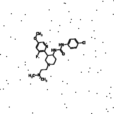 COc1cnc(C2CN(CCN(C)C)CCC2NC(=O)Nc2ccc(Cl)cc2)c(F)c1